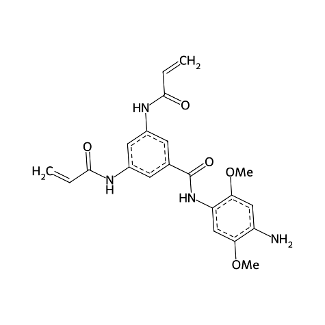 C=CC(=O)Nc1cc(NC(=O)C=C)cc(C(=O)Nc2cc(OC)c(N)cc2OC)c1